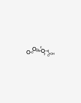 O=C(O)C1CC1c1cc(F)c(NCc2cccc(Oc3ccccc3)c2)cc1F